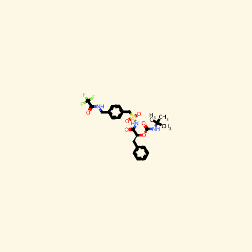 CC(C)(C)NC(=O)O[C@@H](Cc1ccccc1)C(=O)NS(=O)(=O)Cc1ccc(CNC(=O)C(F)(F)F)cc1